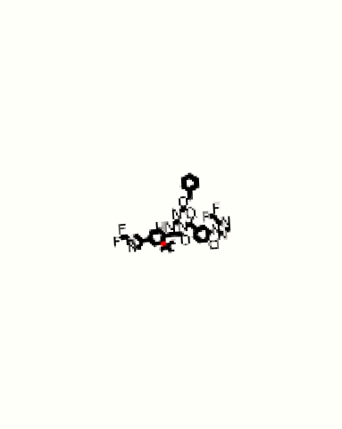 [CH2][C@@H](c1ccc(Cl)c(-n2ncnc2C(F)F)c1)N1C(=O)[C@@](CC(C)(C)C)(c2ccc(-c3cnn(C(F)F)c3)cc2)N/C1=N/C(=O)OCc1ccccc1